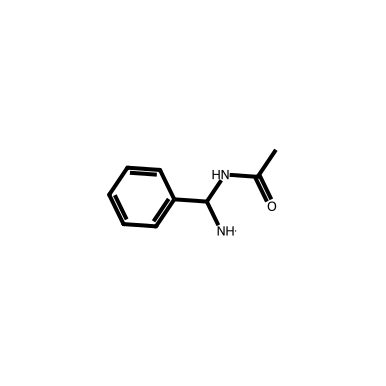 CC(=O)NC([NH])c1ccccc1